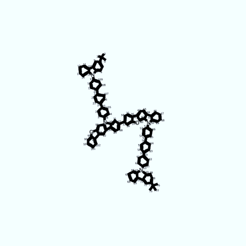 CC(C)(C)c1ccc2c(c1)c1ccccc1n2-c1ccc(-c2ccc(-c3ccc(-n4c5cc(-c6ccc7c(c6)oc6c7ccc7c8ccccc8n(-c8ccc(-c9ccc(-c%10ccc(-n%11c%12ccccc%12c%12cc(C(C)(C)C)ccc%12%11)cc%10)cc9)cc8)c76)ccc5c5cc6c(cc54)oc4ccccc46)cc3)cc2)cc1